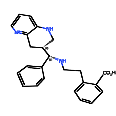 O=C(O)c1ccccc1CCN[C@H](c1ccccc1)[C@H]1CNc2cccnc2C1